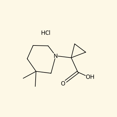 CC1(C)CCCN(C2(C(=O)O)CC2)C1.Cl